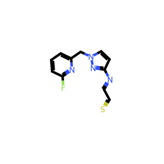 Fc1cccc(Cn2ccc(N=CC=S)n2)n1